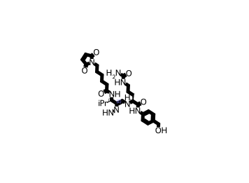 CC(C)[C@H](NC(=O)CCCCCN1C(=O)C=CC1=O)/C(=C/N[C@@H](CCCNC(N)=O)C(=O)Nc1ccc(CO)cc1)N=N